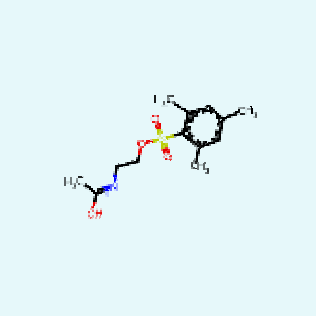 C/C(O)=N\CCOS(=O)(=O)c1c(C)cc(C)cc1C